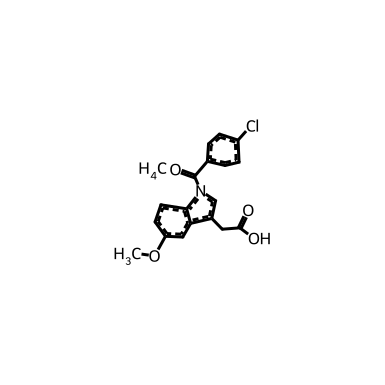 C.COc1ccc2c(c1)c(CC(=O)O)cn2C(=O)c1ccc(Cl)cc1